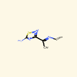 CON=C(C#N)c1nsc(N)n1